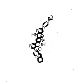 Cn1cc(-c2cncc(N3CCn4c(cc5c4CCCC5)C3=O)c2CO)cc(Nc2ccc(N3CCN(C4COC4)CC3)cn2)c1=O